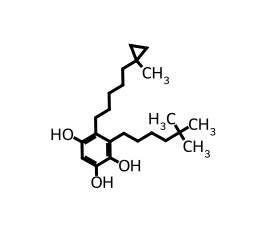 CC(C)(C)CCCCc1c(O)c(O)cc(O)c1CCCCCC1(C)CC1